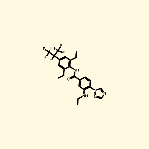 CCNc1cc(C(=O)Nc2c(CC)cc(C(F)(C(F)(F)F)C(F)(F)F)cc2CC)ccc1-n1cncn1